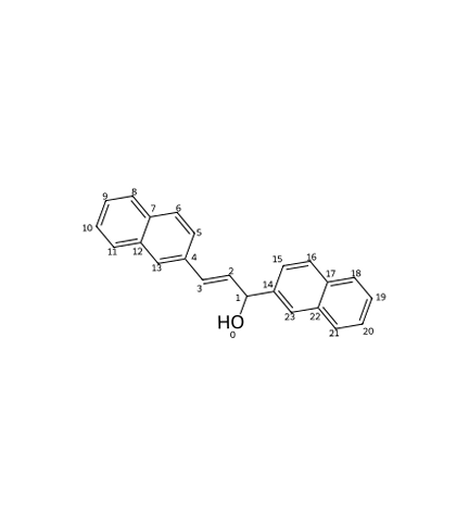 OC(/C=C/c1ccc2ccccc2c1)c1ccc2ccccc2c1